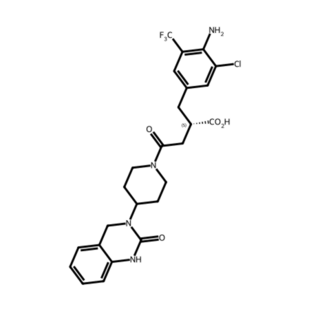 Nc1c(Cl)cc(C[C@@H](CC(=O)N2CCC(N3Cc4ccccc4NC3=O)CC2)C(=O)O)cc1C(F)(F)F